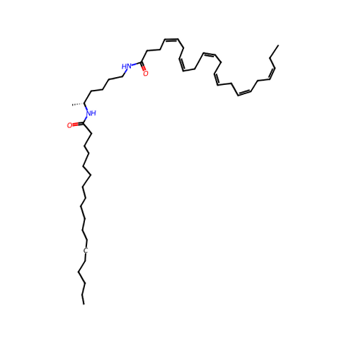 CC/C=C\C/C=C\C/C=C\C/C=C\C/C=C\C/C=C\CCC(=O)NCCCC[C@@H](C)NC(=O)CCCCCCCCCCCCCCCCC